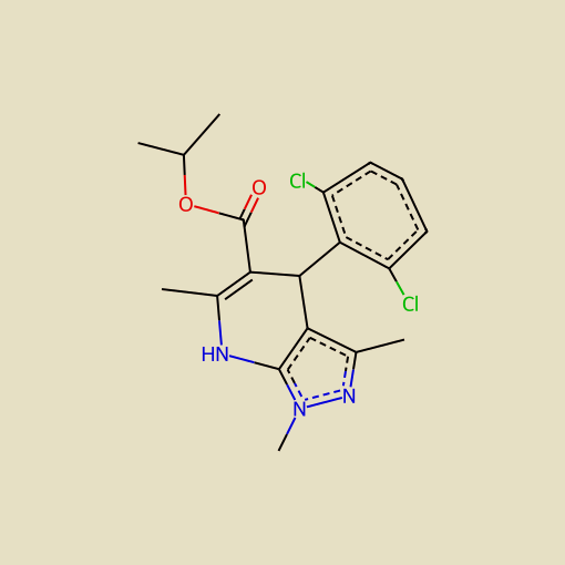 CC1=C(C(=O)OC(C)C)C(c2c(Cl)cccc2Cl)c2c(C)nn(C)c2N1